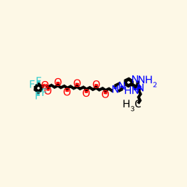 CCCCc1nc2c(N)nc3ccc(N4CCN(CCC(=O)CCC(=O)CCC(=O)CCC(=O)CCC(=O)CCC(=O)CCC(=O)Oc5c(F)c(F)cc(F)c5F)CC4)cc3c2[nH]1